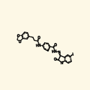 O=C(CCc1ccc2c(c1)OCO2)Nc1ccc(C(=O)NN=C2C(=O)[N]c3ccc(I)cc32)cc1